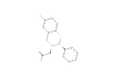 Cc1ccc2c(c1)C[C@H](CC(=O)O)[C@H](c1ccccc1)N2